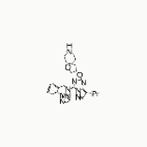 CC(C)c1cnn2c(NCc3ccccc3-n3cccn3)nc(OC3COC4(CCNCC4)C3)nc12